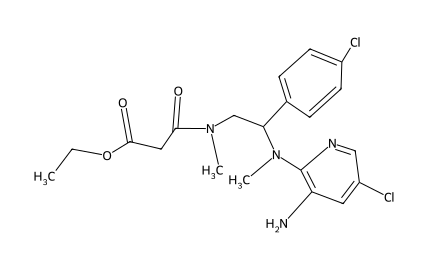 CCOC(=O)CC(=O)N(C)CC(c1ccc(Cl)cc1)N(C)c1ncc(Cl)cc1N